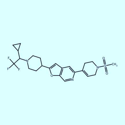 CS(=O)(=O)N1CC=C(c2cc3cc(C4CCN(C(C5CC5)C(F)(F)F)CC4)oc3cn2)CC1